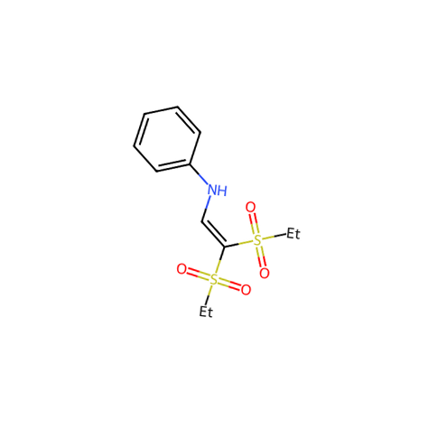 CCS(=O)(=O)C(=CNc1ccccc1)S(=O)(=O)CC